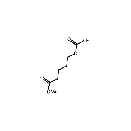 COC(=O)CCCCOC(=O)C(F)(F)F